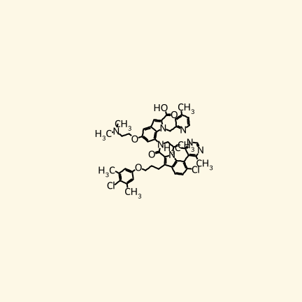 Cc1ccnc(Cn2c(C(=O)O)cc3cc(OCCN(C)C)cc(N4CC(C)n5c(c(CCCOc6cc(C)c(Cl)c(C)c6)c6ccc(Cl)c(-c7c(C)ncnc7C)c65)C4=O)c32)c1